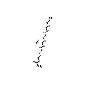 CO.NC(=O)CCCCCCCCCCCCCCCCCO